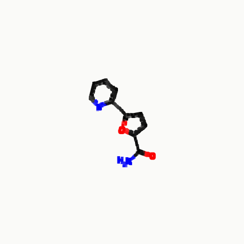 NC(=O)c1ccc(-c2ccccn2)o1